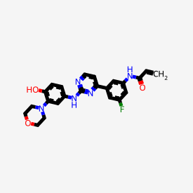 C=CC(=O)Nc1cc(F)cc(-c2ccnc(Nc3ccc(O)c(N4CCOCC4)c3)n2)c1